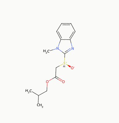 CC(C)COC(=O)C[S@+]([O-])c1nc2ccccc2n1C